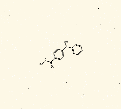 CC(C)(C)NC(=O)c1ccc(C(O)c2ccccc2)cc1